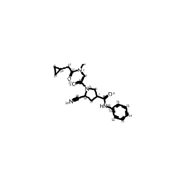 CN(CC(=O)N1CC(C(=O)Nc2ccccc2)CC1C#N)C(=O)CC1CC1